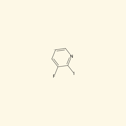 Fc1c[c]cnc1I